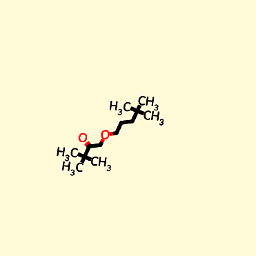 CC(C)(C)CCCOCC(=O)C(C)(C)C